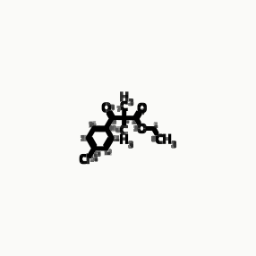 CCOC(=O)C(C)(C)C(=O)c1ccc(Cl)cc1